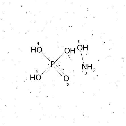 NO.O=P(O)(O)O